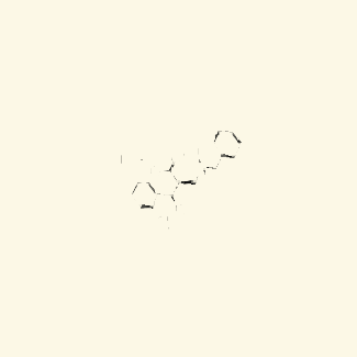 CCOC(=O)/C(=C\NCc1ccccc1)C(=O)c1ccccc1Cl